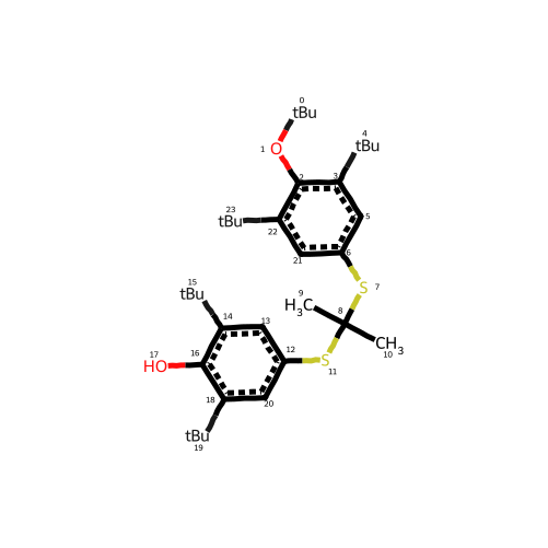 CC(C)(C)Oc1c(C(C)(C)C)cc(SC(C)(C)Sc2cc(C(C)(C)C)c(O)c(C(C)(C)C)c2)cc1C(C)(C)C